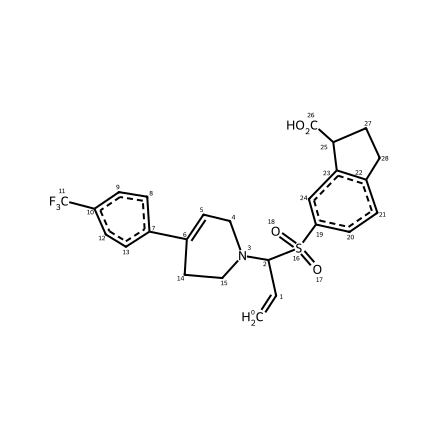 C=CC(N1CC=C(c2ccc(C(F)(F)F)cc2)CC1)S(=O)(=O)c1ccc2c(c1)C(C(=O)O)CC2